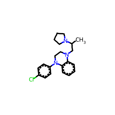 CC(CN1CCN(c2ccc(Cl)cc2)c2ccccc21)N1CCCC1